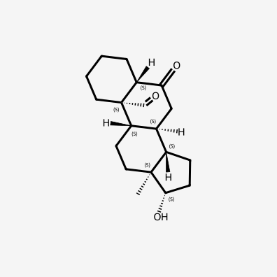 C[C@]12CC[C@H]3[C@@H](CC(=O)[C@H]4CCCC[C@@]43C=O)[C@@H]1CC[C@@H]2O